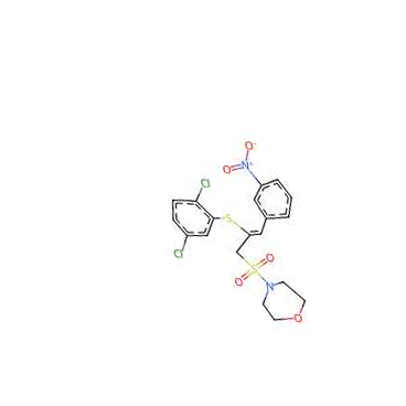 O=[N+]([O-])c1cccc(C=C(CS(=O)(=O)N2CCOCC2)Sc2cc(Cl)ccc2Cl)c1